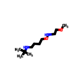 COCCNOCCCCNC(C)(C)C